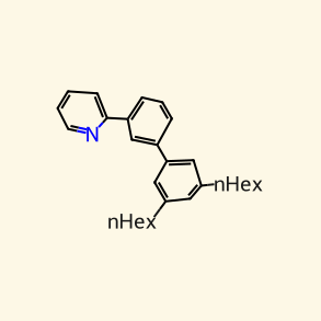 CCCCCCc1cc(CCCCCC)cc(-c2cccc(-c3ccccn3)c2)c1